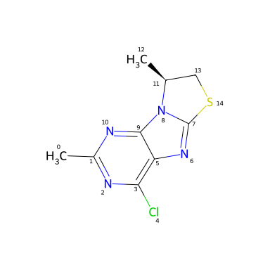 Cc1nc(Cl)c2nc3n(c2n1)[C@@H](C)CS3